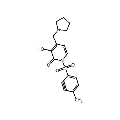 Cc1c#cc(S(=O)(=O)n2ccc(CN3CCCC3)c(O)c2=O)cc1